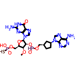 CO[C@H]1[C@@H](O[PH](=O)OC[C@@H]2CC[C@H](n3cnc4c(N)ncnc43)C2)[C@H](n2cnc3c(=O)[nH]c(N)nc32)O[C@@H]1COP(=O)(O)S